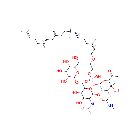 C=C(C/C=C(\C)CCC=C(C)C)CCC(C)(C)/C=C/CC/C(C)=C\COCCOP(=O)(O)OC1OC(C(C)=O)C(C)(O)C(OC(N)=O)C1OC1OC(COC2OC(CO)C(O)C(O)C2O)C(O)C(O)C1NC(C)=O